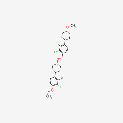 CCOc1ccc(C2CCC(OCc3ccc(C4CCC(OC)CC4)c(F)c3F)CC2)c(F)c1F